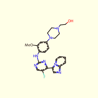 COc1cc(N2CCN(CCO)CC2)ccc1Nc1ncc(F)c(-c2cnc3ccccn23)n1